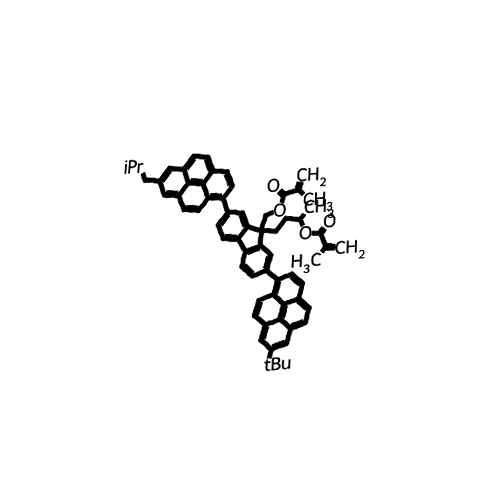 C=C(C)C(=O)OCC1(CCC(C)OC(=O)C(=C)C)c2cc(-c3ccc4ccc5cc(CC(C)C)cc6ccc3c4c56)ccc2-c2ccc(-c3ccc4ccc5cc(C(C)(C)C)cc6ccc3c4c56)cc21